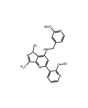 CCOc1ncccc1-c1cc(NCc2ccnc(OC)c2)c2c(n1)c(C)nn2C(C)C